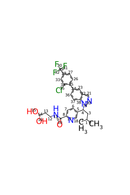 CC(C)CC(c1ccc(C(=O)NCCC(O)O)nc1)n1ncc2cc(-c3ccc(C(F)(F)F)cc3Cl)ccc21